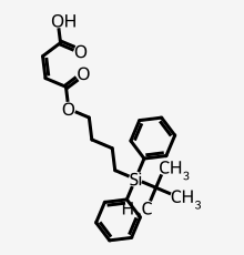 CC(C)(C)[Si](CCCCOC(=O)/C=C\C(=O)O)(c1ccccc1)c1ccccc1